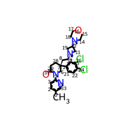 Cc1ccc(N2C[C@@](CCN3CC(N4CCOCC4)C3)(c3ccc(Cl)c(Cl)c3)CCC2=O)nc1